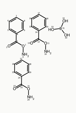 NOC(=O)c1ccccc1.NOC(=O)c1ccccc1.NOC(=O)c1ccccc1.OB(O)O